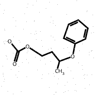 CC(CCOC([O])=O)Oc1ccccc1